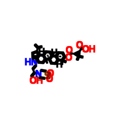 CC(C)[C@@H]1CC[C@]2(NCC[C@H](CO)N3CCS(=O)(=O)CC3)CC[C@]3(C)[C@H](CC[C@@H]4[C@@]5(C)CC[C@H](OC(=O)[C@H]6[C@@H](C(=O)O)C6(C)C)C(C)(C)[C@@H]5CC[C@]43C)[C@@H]12